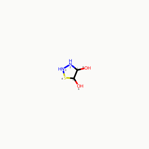 OC1NNSC1O